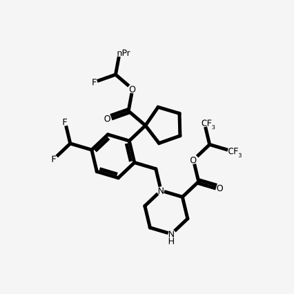 CCCC(F)OC(=O)C1(c2cc(C(F)F)ccc2CN2CCNCC2C(=O)OC(C(F)(F)F)C(F)(F)F)CCCC1